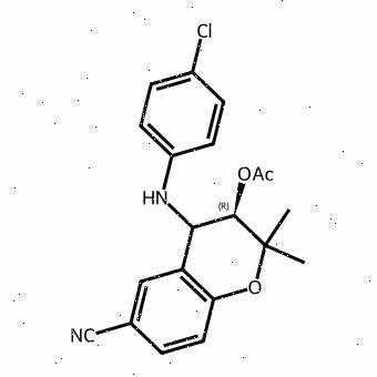 CC(=O)O[C@@H]1C(Nc2ccc(Cl)cc2)c2cc(C#N)ccc2OC1(C)C